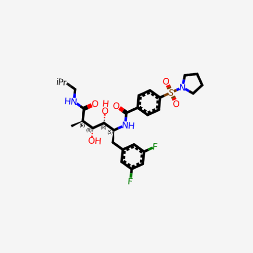 CC(C)CNC(=O)[C@H](C)[C@@H](O)[C@H](O)[C@H](Cc1cc(F)cc(F)c1)NC(=O)c1ccc(S(=O)(=O)N2CCCC2)cc1